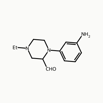 CCN1CCN(c2cccc(N)c2)C(C=O)C1